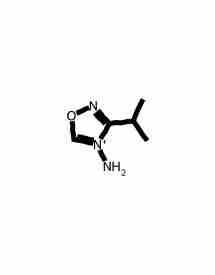 CC(C)c1noc[n+]1N